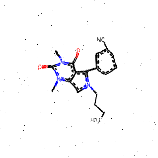 Cn1c(=O)c2c(-c3cccc(C#N)c3)n(CCCC(=O)O)cc2n(C)c1=O